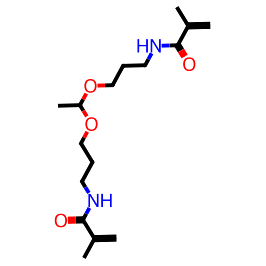 C=C(C)C(=O)NCCCOC(C)OCCCNC(=O)C(=C)C